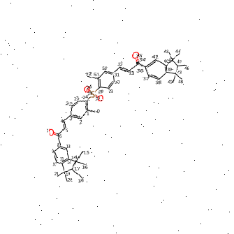 Cc1cc(C=CC(=O)c2ccc3c(c2)C(C)(C)C(C)C3(C)C)ccc1S(=O)(=O)c1ccc(C=CC(=O)c2ccc3c(c2)C(C)(C)C(C)C3(C)C)cc1C